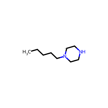 CCCCCN1[CH]CNCC1